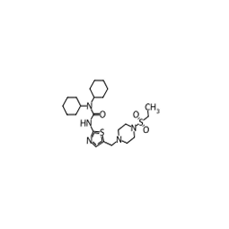 CCS(=O)(=O)N1CCN(Cc2cnc(NC(=O)N(C3CCCCC3)C3CCCCC3)s2)CC1